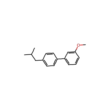 COc1cccc(-c2ccc(CC(C)C)cc2)c1